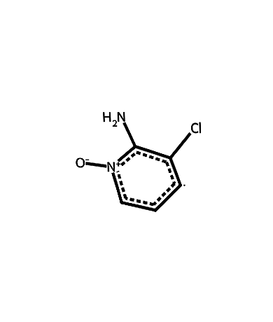 Nc1c(Cl)[c]cc[n+]1[O-]